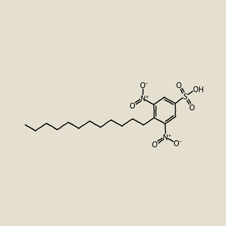 CCCCCCCCCCCCc1c([N+](=O)[O-])cc(S(=O)(=O)O)cc1[N+](=O)[O-]